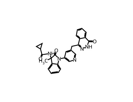 CC1(NC(=O)C2CC2)C(=O)N(c2cncc(Cc3n[nH]c(=O)c4ccccc34)c2)c2ccccc21